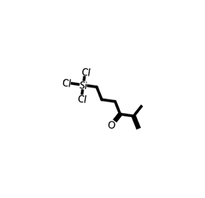 C=C(C)C(=O)CCC[Si](Cl)(Cl)Cl